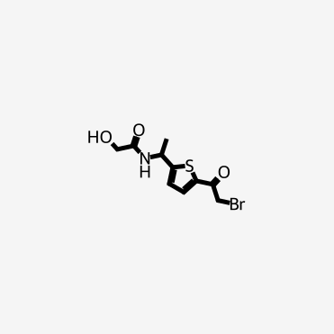 CC(NC(=O)CO)c1ccc(C(=O)CBr)s1